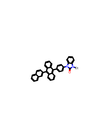 CCn1c(=O)n(-c2ccc(-c3c4ccccc4c(-c4ccc5ccccc5c4)c4ccccc34)cc2)c2ccccc21